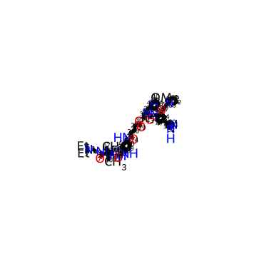 CCN(CC)CCNC(=O)c1c(C)[nH]c(/C=C2\C(=O)Nc3ccc(NC(=O)CCCC(=O)OCCN(Cc4cccc(OC)c4)C(=O)Nc4ccc(-c5cn[nH]c5)cc4OCCN4CCCC4)cc32)c1C